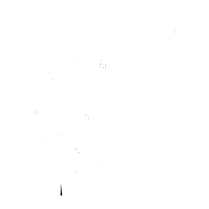 CC[C@H](C)[C@H]1CO[C@@H]2Cn3cc(C(=O)NCc4ccc(F)cc4F)c(=O)c(O)c3C(=O)N12